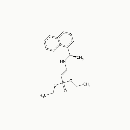 CCOP(=O)(/C=C/N[C@H](C)c1cccc2ccccc12)OCC